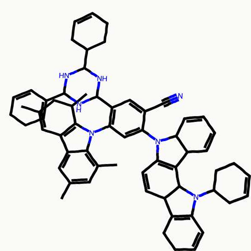 CC1=Cc2c(n(-c3cc(N4C5=C(C6C=CC=CC64)C4C(C=C5)C5=C(C=CCC5)N4C4CC=CCC4)c(C#N)cc3C3NC(C4=CCCC=C4)NC(C4CC=CCC4)N3)c3c(C)cc(C)cc23)C(C)C1